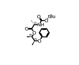 C[C@H](NC(=O)OC(C)(C)C)C(=O)O[C@H](C)[C@H](C)Oc1ccccc1